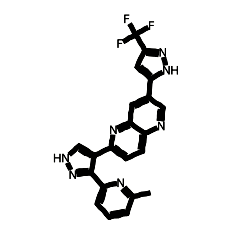 Cc1cccc(-c2n[nH]cc2-c2ccc3ncc(-c4cc(C(F)(F)F)n[nH]4)cc3n2)n1